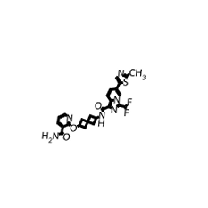 Cc1ncc(-c2ccc3c(C(=O)NC4CC5(C4)CC(Oc4ncccc4C(N)=O)C5)nc(C(F)F)n3c2)s1